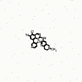 [2H]c1cc(-c2cnccc2C)c2nc(Nc3cnc4c(c3)CN(C)CC4)ncc2c1Cl